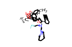 CC(C)C1=CC2CC3(C=O)[C@@H]4CC[C@@H](C)[C@H]4CC2([C@H]2C[C@@H](C4CCCCC4)[C@H](CN(CCF)CCN4CCCCC4)O2)[C@]13C(=O)O